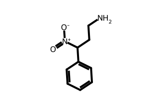 NCCC(c1ccccc1)[N+](=O)[O-]